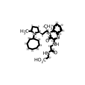 CC1CC[C@@H](C[C@H](C)n2c(=O)c(NCC(=O)NCC(=O)O)nc3ccccc32)N1C1CCCCCCC1